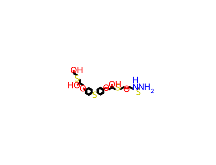 NC(=S)NCCOCCSCC(O)COc1ccc(Sc2ccc(OCC(O)CSCCO)cc2)cc1